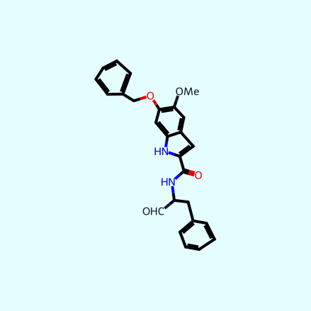 COc1cc2cc(C(=O)NC(C=O)Cc3ccccc3)[nH]c2cc1OCc1ccccc1